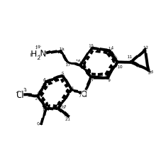 Cc1c(Cl)ccc(Oc2cc(C3CC3)ccc2CCN)c1C